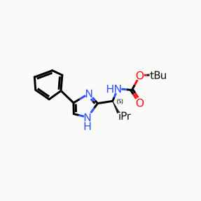 CC(C)[C@H](NC(=O)OC(C)(C)C)c1nc(-c2ccccc2)c[nH]1